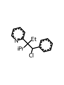 CCC(c1ccccn1)(C(C)C)C(Cl)c1ccccc1